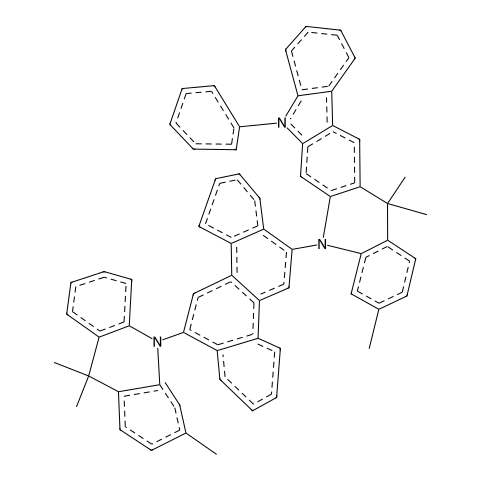 Cc1ccc2c(c1)N(c1cc3c4ccccc4c(N4c5cc(C)ccc5C(C)(C)c5cc6c7ccccc7n(-c7ccccc7)c6cc54)cc3c3ccccc13)c1ccccc1C2(C)C